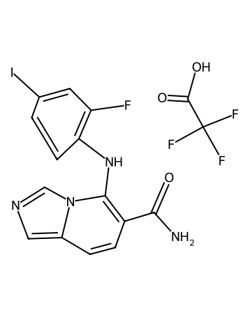 NC(=O)c1ccc2cncn2c1Nc1ccc(I)cc1F.O=C(O)C(F)(F)F